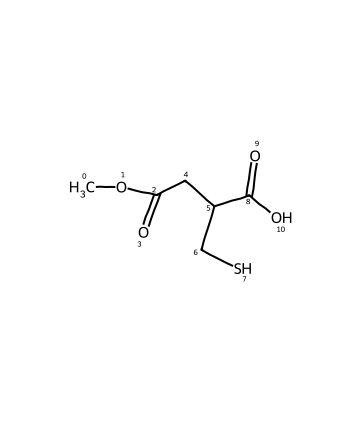 COC(=O)CC(CS)C(=O)O